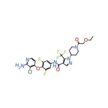 CCOCC(=O)N1CCC(n2ncc(C(=O)Nc3cc(F)c(Oc4ccnc(N)c4Cl)c(F)c3)c2C(F)(F)F)CC1